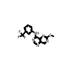 CSc1ncc2ncnc(Nc3cccc(C(F)(F)F)c3)c2n1